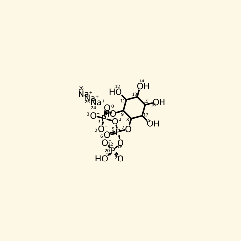 O=P([O-])([O-])OP(=O)(OC1C(O)C(O)C(O)C(O)C1O)OP(=O)([O-])O.[Na+].[Na+].[Na+]